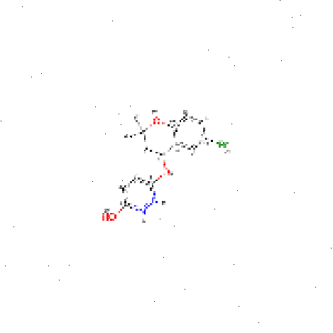 CC1(C)CC(Oc2ccc(O)nn2)c2cc(Br)ccc2O1